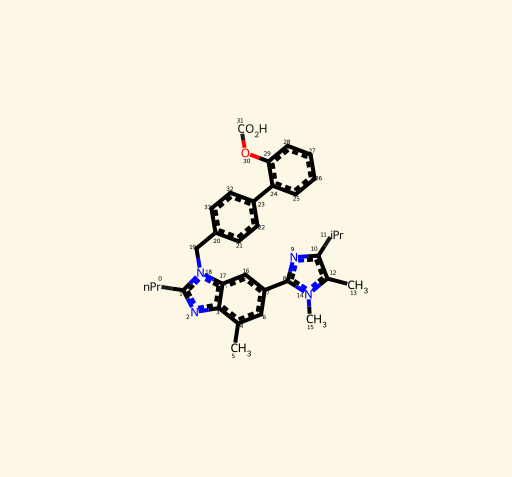 CCCc1nc2c(C)cc(-c3nc(C(C)C)c(C)n3C)cc2n1Cc1ccc(-c2ccccc2OC(=O)O)cc1